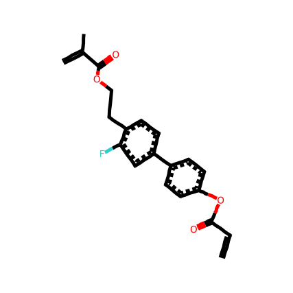 C=CC(=O)Oc1ccc(-c2ccc(CCOC(=O)C(=C)C)c(F)c2)cc1